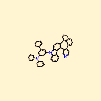 c1ccc(-c2cc(N(c3ccccc3)c3ccccc3)cc(-n3c4ccccc4c4c5c(ccc43)-c3cccc4cccc(c34)-c3ccncc3-5)c2)cc1